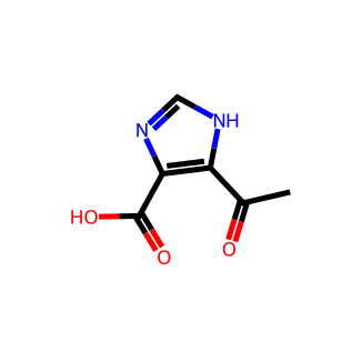 CC(=O)c1[nH]cnc1C(=O)O